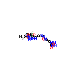 CCN(C)S(=O)(=O)Nc1ccc(F)c(C(=O)c2c[nH]c3ncc(-c4ccc(CN5CCN(CC(=O)N6CCC(c7ccc(NC8CCC(=O)NC8=O)cc7)CC6)CC5)cc4)cc23)c1F